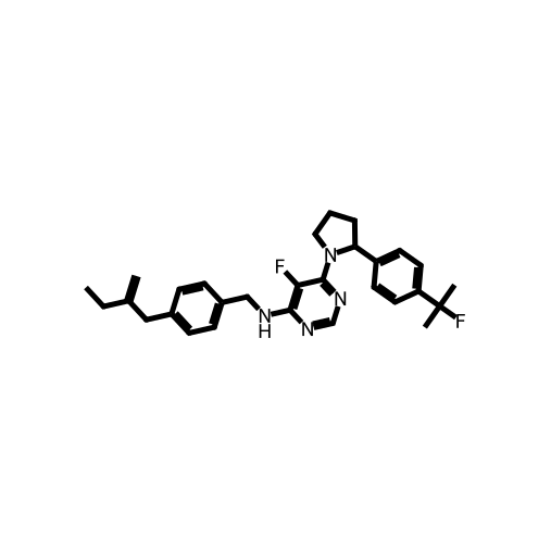 C=C(CC)Cc1ccc(CNc2ncnc(N3CCCC3c3ccc(C(C)(C)F)cc3)c2F)cc1